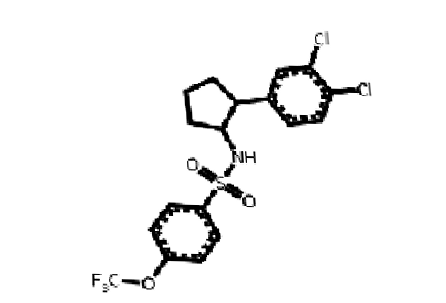 O=S(=O)(NC1CCCC1c1ccc(Cl)c(Cl)c1)c1ccc(OC(F)(F)F)cc1